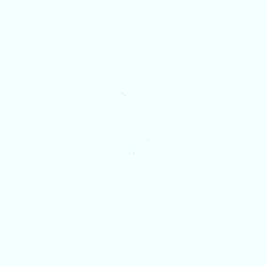 CCOC(=O)CNC(=O)C1(C)CCN(C)CC1